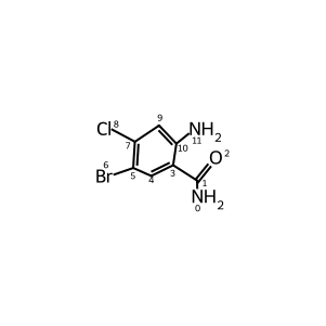 NC(=O)c1cc(Br)c(Cl)cc1N